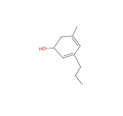 CCCC1=CC(O)CC(C)=C1